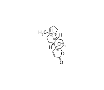 C[C@@]12CCC[C@H]1[C@@H]1CCC3OC(=O)C=C[C@]3(C)[C@@H]1CC2